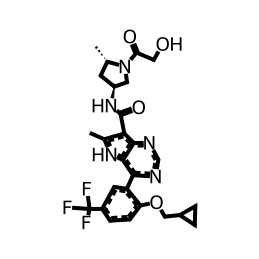 Cc1[nH]c2c(-c3cc(C(F)(F)F)ccc3OCC3CC3)ncnc2c1C(=O)N[C@H]1C[C@H](C)N(C(=O)CO)C1